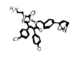 NCCn1nc2c(-c3ccc(Cl)cc3)c(-c3ccc(Cl)cc3)c(=O)n(Cc3ccc(-c4ccno4)cc3)n2c1=O